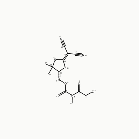 CN(C(=O)CCl)C(=O)ON=C1SC(=C(C#N)C#N)SC1(C)C